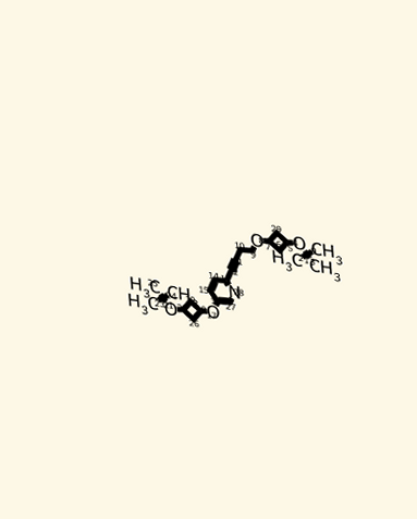 CC(C)(C)OC1CC(OCCC#Cc2ccc(OC3CC(OC(C)(C)C)C3)cn2)C1